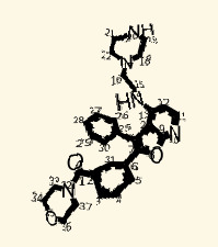 O=C(c1cccc(-c2oc3nccc(NCCN4CCNCC4)c3c2-c2ccccc2)c1)N1CCOCC1